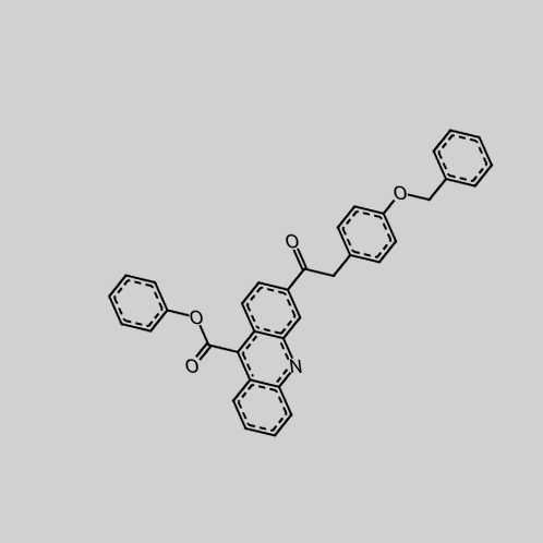 O=C(Cc1ccc(OCc2ccccc2)cc1)c1ccc2c(C(=O)Oc3ccccc3)c3ccccc3nc2c1